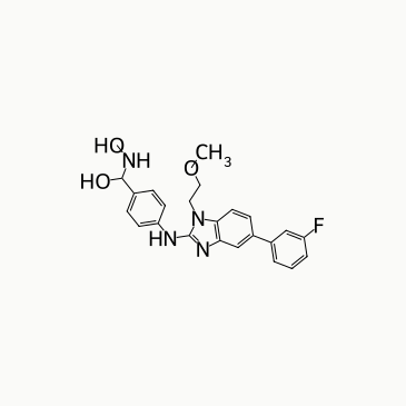 COCCn1c(Nc2ccc(C(O)NO)cc2)nc2cc(-c3cccc(F)c3)ccc21